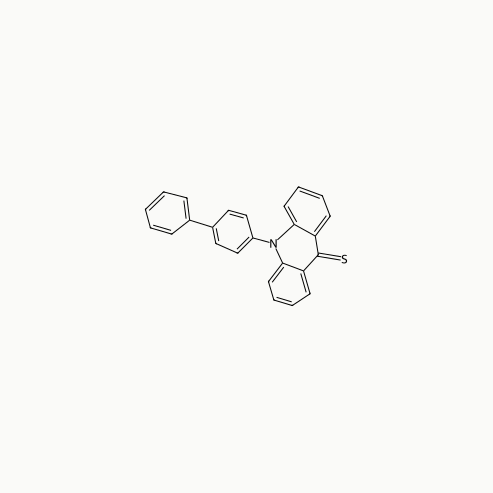 S=c1c2ccccc2n(-c2ccc(-c3ccccc3)cc2)c2ccccc12